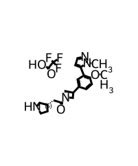 COc1ccc(C2CN(C(=O)C[C@@H]3CCNC3)C2)cc1-c1ccnn1C.O=C(O)C(F)(F)F